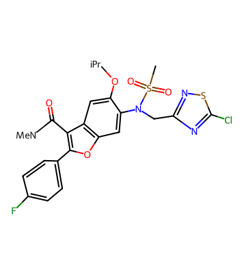 CNC(=O)c1c(-c2ccc(F)cc2)oc2cc(N(Cc3nsc(Cl)n3)S(C)(=O)=O)c(OC(C)C)cc12